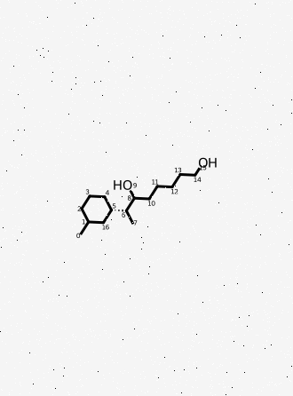 CC1CCC[C@H](C(C)C(O)CCCCCO)C1